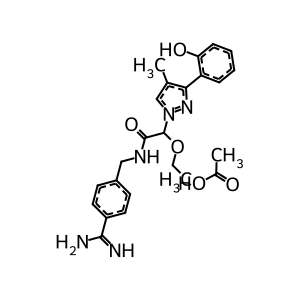 CC(=O)O.CCOC(C(=O)NCc1ccc(C(=N)N)cc1)n1cc(C)c(-c2ccccc2O)n1